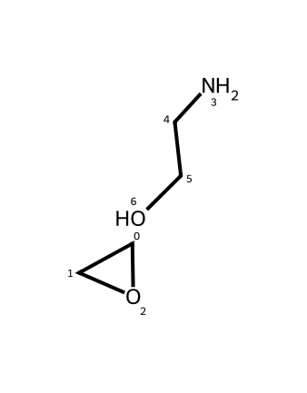 C1CO1.NCCO